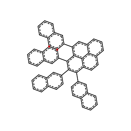 c1ccc2cc(-c3c(-c4ccc5ccccc5c4)c4ccc5cccc6cc(-c7ccc8ccccc8c7)c(c3-c3ccc7ccccc7c3)c4c56)ccc2c1